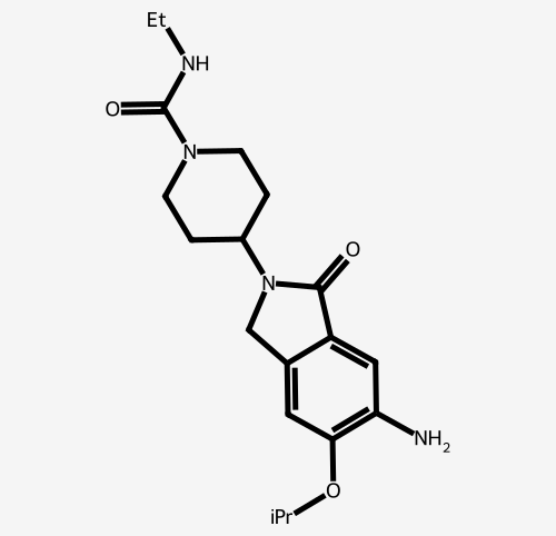 CCNC(=O)N1CCC(N2Cc3cc(OC(C)C)c(N)cc3C2=O)CC1